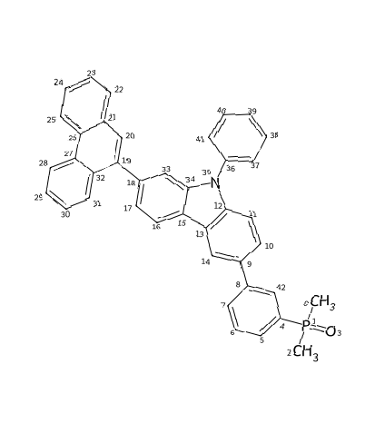 CP(C)(=O)c1cccc(-c2ccc3c(c2)c2ccc(-c4cc5ccccc5c5ccccc45)cc2n3-c2ccccc2)c1